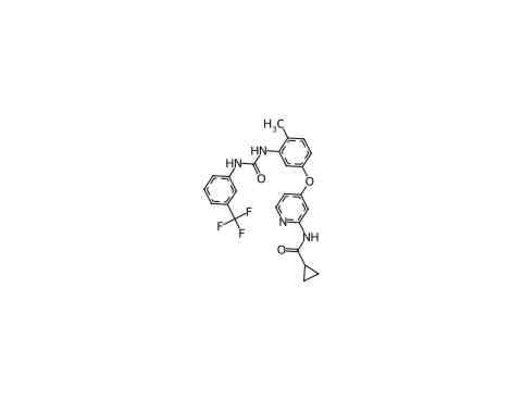 Cc1ccc(Oc2ccnc(NC(=O)C3CC3)c2)cc1NC(=O)Nc1cccc(C(F)(F)F)c1